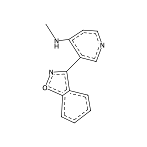 CNc1ccncc1-c1noc2ccccc12